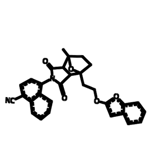 CC12CCC(CCOc3cc4ccccc4o3)(O1)C1C(=O)N(c3ccc(C#N)c4ccccc34)C(=O)C12